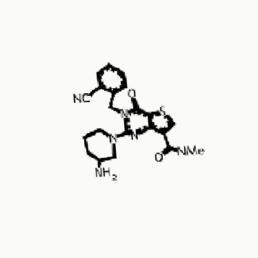 CNC(=O)c1csc2c(=O)n(Cc3ccccc3C#N)c(N3CCCC(N)C3)nc12